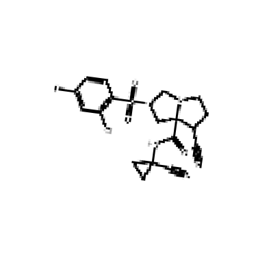 N#CC1CCN2C[C@H](S(=O)(=O)c3ccc(F)cc3Cl)C[C@@]12C(=O)NC1(C#N)CC1